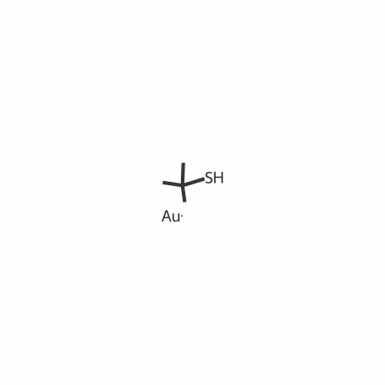 CC(C)(C)S.[Au]